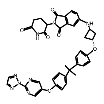 CC(C)(c1ccc(Oc2cnc(-n3nccn3)nc2)cc1)c1ccc(O[C@H]2C[C@H](Nc3ccc4c(c3)C(=O)N(C3CCC(=O)NC3=O)C4=O)C2)cc1